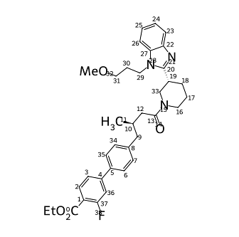 CCOC(=O)c1ccc(-c2ccc(C[C@@H](C)CC(=O)N3CCC[C@@H](c4nc5ccccc5n4CCCOC)C3)cc2)cc1F